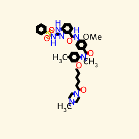 COc1cc(C(=O)N(C)c2ccc(C)cc2OCCCCCC(=O)N2CCN(C)CC2)ccc1NC(=O)c1cccc2[nH]c(NS(=O)(=O)c3ccccc3)nc12